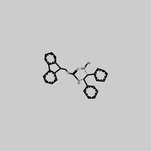 CC(C)N[C@H](c1ccccc1)[C@@H](NC(=O)OCC1c2ccccc2-c2ccccc21)c1ccccc1